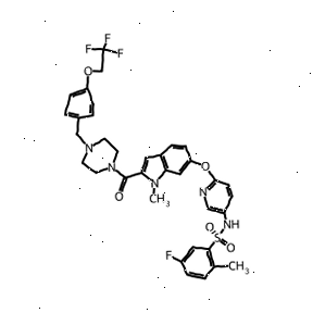 Cc1ccc(F)cc1S(=O)(=O)Nc1ccc(Oc2ccc3cc(C(=O)N4CCN(Cc5ccc(OCC(F)(F)F)cc5)CC4)n(C)c3c2)nc1